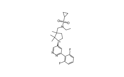 CCN(CC1(C)CC[C@@H](c2cnnc(-c3c(F)cccc3F)c2)C1(C)C)S(=O)(=O)C1CC1